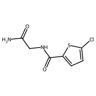 NC(=O)CNC(=O)c1ccc(Cl)s1